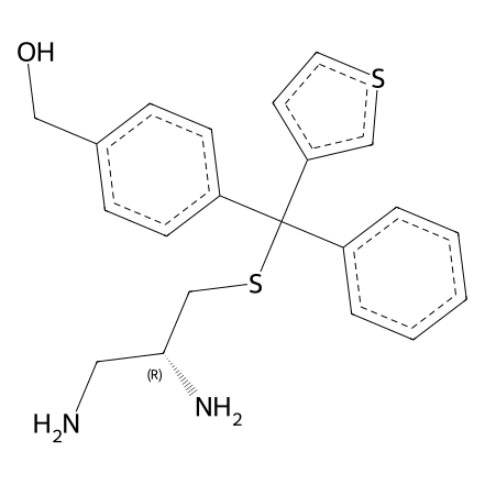 NC[C@@H](N)CSC(c1ccccc1)(c1ccc(CO)cc1)c1ccsc1